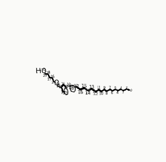 CCCCCCCCCCCCCCCCCCOC[C@H]1C[C@H](COCCCCCO)CO1